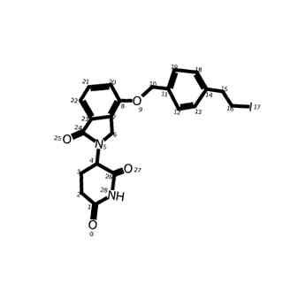 O=C1CCC(N2Cc3c(OCc4ccc(CCI)cc4)cccc3C2=O)C(=O)N1